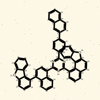 c1ccc2cc(-c3ccc(-c4nc(-c5ccc(-c6cccc7oc8ccccc8c67)c6ccccc56)nc(-c5cccc6ccc7oc8ccccc8c7c56)n4)cc3)ccc2c1